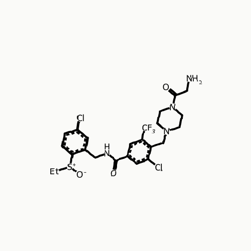 CC[S+]([O-])c1ccc(Cl)cc1CNC(=O)c1cc(Cl)c(CN2CCN(C(=O)CN)CC2)c(C(F)(F)F)c1